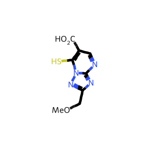 COCc1nc2ncc(C(=O)O)c(S)n2n1